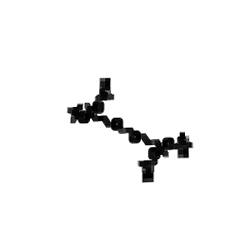 C[SiH](C)CO[Si](C)(CCCOCCOCCC[Si](C)(OC[SiH](C)C)O[Si](C)(C)C)OC[SiH](C)C